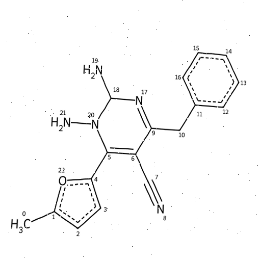 Cc1ccc(C2=C(C#N)C(Cc3ccccc3)=NC(N)N2N)o1